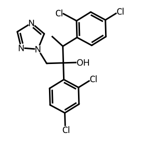 CC(c1ccc(Cl)cc1Cl)C(O)(Cn1cncn1)c1ccc(Cl)cc1Cl